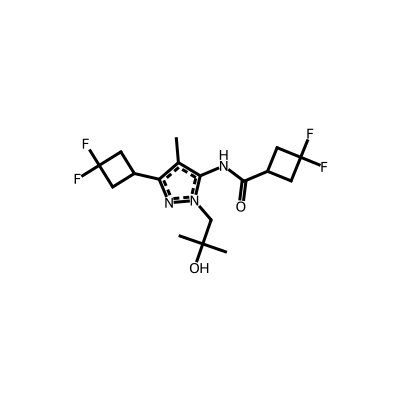 Cc1c(C2CC(F)(F)C2)nn(CC(C)(C)O)c1NC(=O)C1CC(F)(F)C1